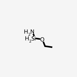 CCO[SiH2]N